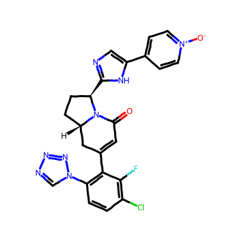 O=C1C=C(c2c(-n3cnnn3)ccc(Cl)c2F)C[C@@H]2CC[C@@H](c3ncc(-c4cc[n+]([O-])cc4)[nH]3)N12